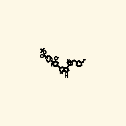 COc1cc(-c2cnc3[nH]cc(-c4cnn(Cc5cccc(F)c5)c4)c3c2)cnc1N1CCN(C(=O)OC(C)(C)C)CC1